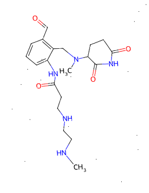 CNCCNCCC(=O)Nc1cccc(C=O)c1CN(C)C1CCC(=O)NC1=O